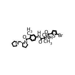 Cc1cc(NC(=O)C(C)(C)NC(=O)c2ccc(Br)s2)ccc1C(=O)N1CCC[C@H]1CN1CCCC1